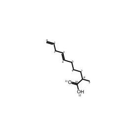 C=CCC=CCCCC(C)C(=O)O